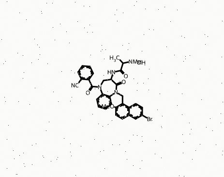 CNC(C)C(=O)NC1CN(C(=O)c2ccccc2C#N)c2ccccc2N(Cc2c(OC)ccc3cc(Br)ccc23)C1=O.Cl